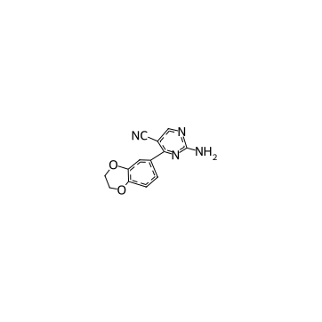 N#Cc1cnc(N)nc1-c1ccc2c(c1)OCCO2